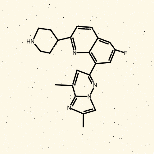 Cc1cn2nc(-c3cc(F)cc4ccc(C5CCNCC5)nc34)cc(C)c2n1